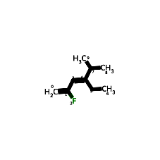 C=C(F)/C=C(\CC)C(C)C